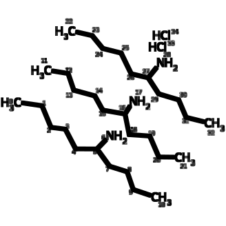 CCCCCC(N)CCCC.CCCCCC(N)CCCC.CCCCCC(N)CCCC.Cl.Cl